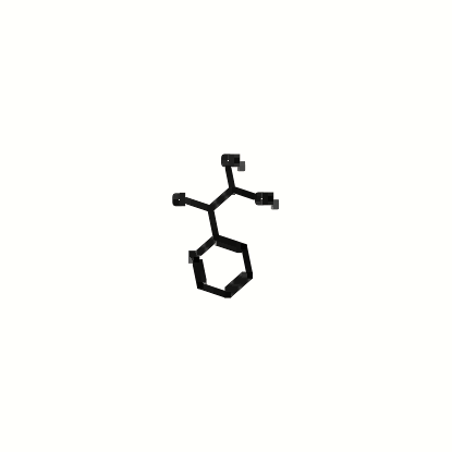 C[C](C)C(Cl)c1ccccn1